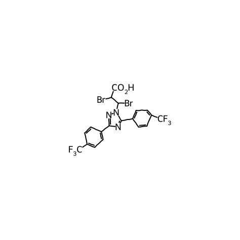 O=C(O)C(Br)C(Br)n1nc(-c2ccc(C(F)(F)F)cc2)nc1-c1ccc(C(F)(F)F)cc1